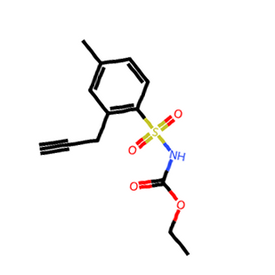 C#CCc1cc(C)ccc1S(=O)(=O)NC(=O)OCC